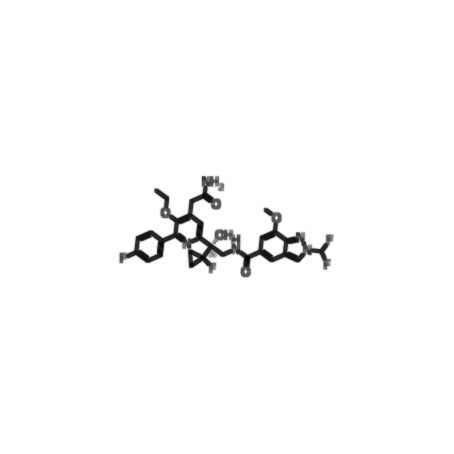 CCOc1c(CC(N)=O)cc([C@@](O)(CNC(=O)c2cc(OC)c3nn(C(F)F)cc3c2)C2(F)CC2)nc1-c1ccc(F)cc1